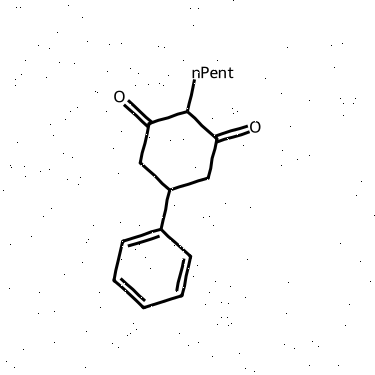 CCCCCC1C(=O)CC(c2ccccc2)CC1=O